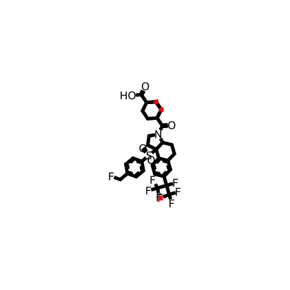 O=C(O)C12CCC(C(=O)N3CCC4(S(=O)(=O)c5ccc(CF)cc5)c5ccc(C(F)(C(F)(F)F)C(F)(F)F)cc5CCC34)(CC1)CC2